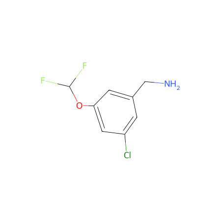 NCc1cc(Cl)cc(OC(F)F)c1